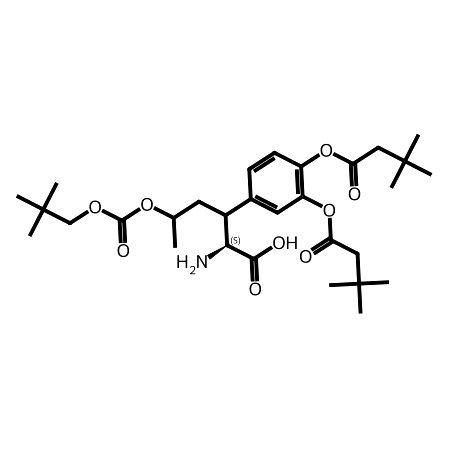 CC(CC(c1ccc(OC(=O)CC(C)(C)C)c(OC(=O)CC(C)(C)C)c1)[C@H](N)C(=O)O)OC(=O)OCC(C)(C)C